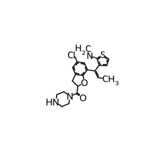 C=Nc1sccc1/C(=C\C)c1cc(Cl)cc2c1OC(C(=O)N1CCNCC1)C2